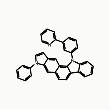 c1ccc(-n2ccc3cc4c(ccc5c6ccccc6n(-c6cccc(-c7ccccn7)c6)c45)cc32)cc1